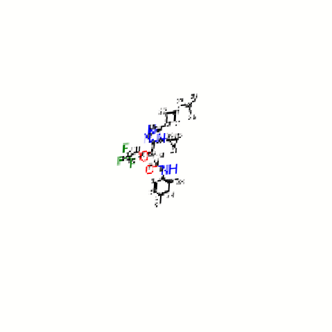 Cc1ccc(NC(=O)C[C@H](OCC(F)(F)F)c2nnc([C@H]3C[C@@H](CC(C)C)C3)n2C2CC2)c(C)c1